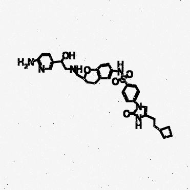 Nc1ccc(C(O)CNCC2CCc3cc(NS(=O)(=O)c4ccc(-n5cc(CCC6CCC6)[nH]c5=O)cc4)ccc3O2)cn1